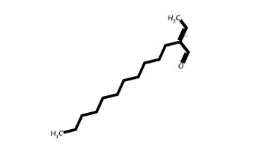 C/C=C(/C=O)CCCCCCCCCCC